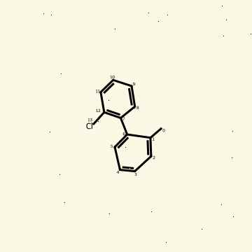 Cc1ccccc1-c1[c]cccc1Cl